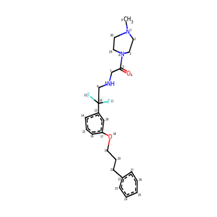 CN1CCN(C(=O)CNCC(F)(F)c2cccc(OCCCc3ccccc3)c2)CC1